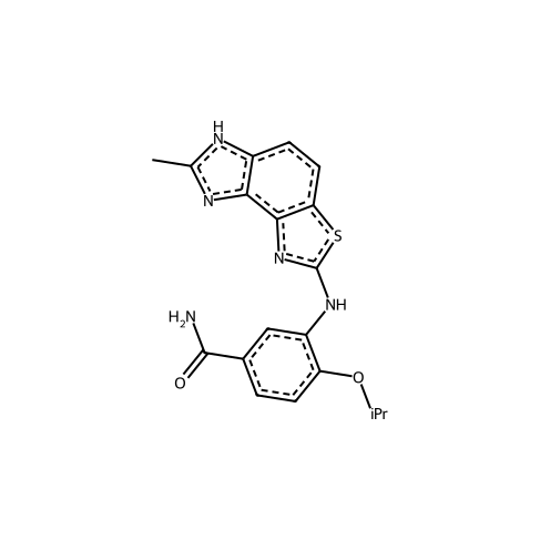 Cc1nc2c(ccc3sc(Nc4cc(C(N)=O)ccc4OC(C)C)nc32)[nH]1